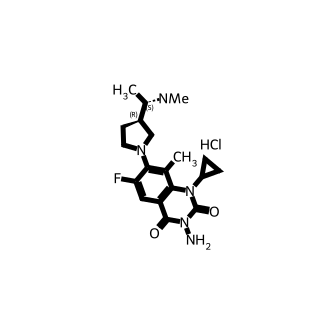 CN[C@@H](C)[C@@H]1CCN(c2c(F)cc3c(=O)n(N)c(=O)n(C4CC4)c3c2C)C1.Cl